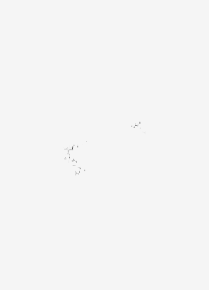 CC[C@@]1(OC(=O)CC(=O)Cc2ccc(CCCCCCCCCCCCCCCCCCOP(=O)(O)OCC[N+](C)(C)C)cc2)C(=O)OCc2c1cc1n(c2=O)Cc2cc3c(CN(C)C)c(O)ccc3nc2-1